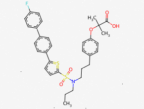 CCCN(CCCc1ccc(OC(C)(C)C(=O)O)cc1)S(=O)(=O)c1ccc(-c2ccc(-c3ccc(F)cc3)cc2)s1